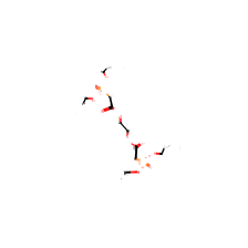 CCOP(=O)(CC(=O)OCCOC(=O)CP(=O)(OCC)OCC)OCC